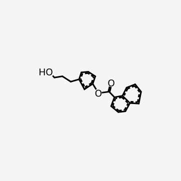 O=C(Oc1cccc(CCCO)c1)c1cccc2ccccc12